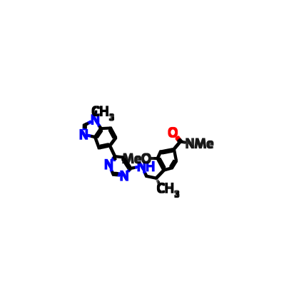 CNC(=O)c1ccc([C@H](C)CNc2cc(-c3ccc4c(c3)ncn4C)ncn2)c(OC)c1